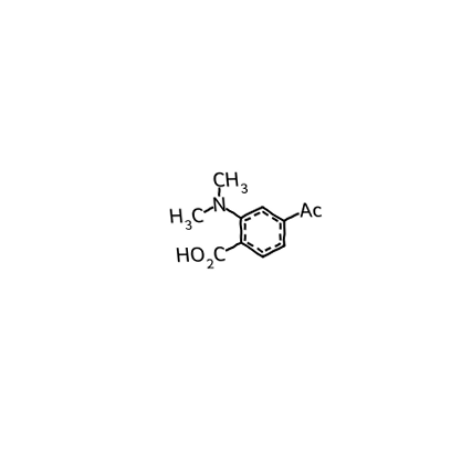 CC(=O)c1ccc(C(=O)O)c(N(C)C)c1